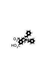 O=C(O)c1ccc(CN(CCc2ccccc2)C(=S)NCc2ccccc2)c([N+](=O)[O-])c1